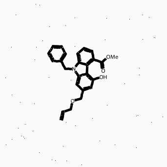 C=CCOCc1cc(O)c2c3c(C(=O)OC)cccc3n(Cc3ccccc3)c2c1